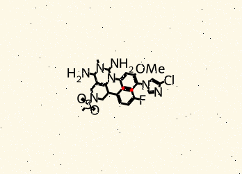 COc1cc(N2C3=C(CN(S(C)(=O)=O)CC3c3ccc(F)cc3)C(N)N(C)C2N)ccc1-n1cnc(Cl)c1